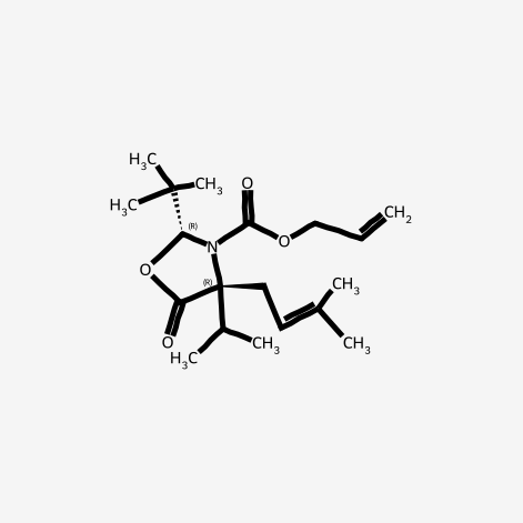 C=CCOC(=O)N1[C@@H](C(C)(C)C)OC(=O)[C@@]1(CC=C(C)C)C(C)C